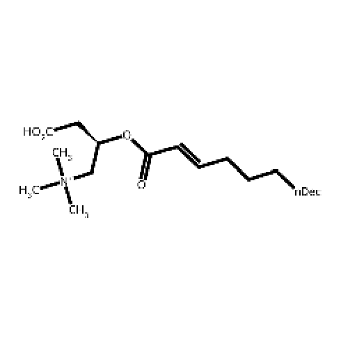 CCCCCCCCCCCCC/C=C/C(=O)O[C@H](CC(=O)O)C[N+](C)(C)C